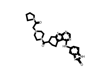 O=C(CN1CCN(C(=O)C2CCc3c(sc4ncnc(Nc5ccc6[nH]c(=O)sc6c5)c34)C2)CC1)N1CCCC1